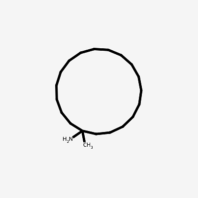 CC1(N)CCCCCCCCCCCCCCCCCC1